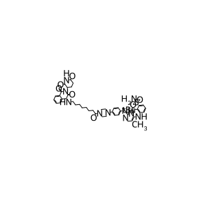 Cc1cnc(Nc2ccc(N3CCN(C(=O)CCCCCCCNC4C(=O)N(C5CCC(=O)NC5=O)C(=O)c5ccccc54)CC3)cc2)nc1Nc1cccc(S(N)(=O)=O)c1C(C)(C)C